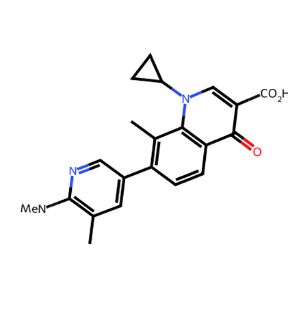 CNc1ncc(-c2ccc3c(=O)c(C(=O)O)cn(C4CC4)c3c2C)cc1C